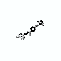 CCO[Si](CCCNc1ccc(/N=N/c2n(C)cc[n+]2C)cc1)(OC)OCC